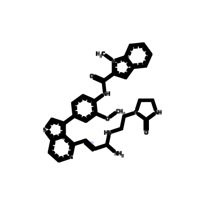 COc1cc(-c2csc3ccnc(/C=C/C(N)NCCN4CCNC4=O)c23)ccc1NC(=O)c1cc2ccccc2n1C